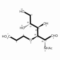 CC(=O)N[C@@H](C=O)[C@@H](OCCC(=O)O)[C@H](O)[C@H](O)CO